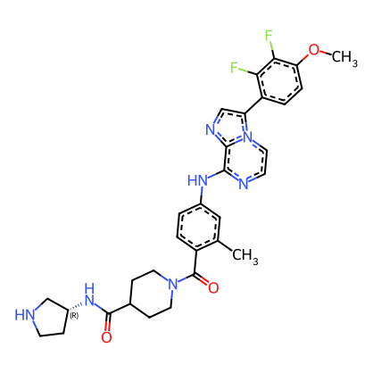 COc1ccc(-c2cnc3c(Nc4ccc(C(=O)N5CCC(C(=O)N[C@@H]6CCNC6)CC5)c(C)c4)nccn23)c(F)c1F